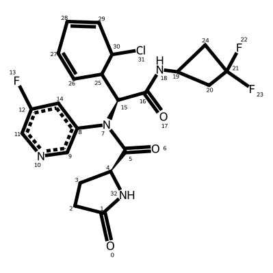 O=C1CC[C@@H](C(=O)N(c2cncc(F)c2)[C@H](C(=O)NC2CC(F)(F)C2)C2C=CC=CC2Cl)N1